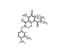 Cc1ccc(CN2CCc3c(c(O)c(=O)n(C)c3C(=O)N(C)C)C2=O)cc1C